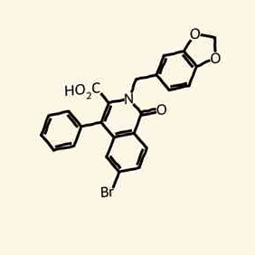 O=C(O)c1c(-c2ccccc2)c2cc(Br)ccc2c(=O)n1Cc1ccc2c(c1)OCO2